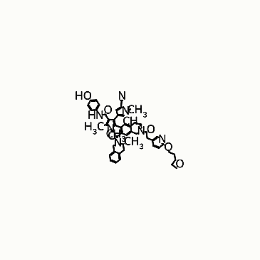 Cc1c(-c2c(C(=O)Nc3ccc(O)cc3)c(C)n(C)c2-c2cc3c(cc2C(=O)N2Cc4ccccc4C[C@H]2C)CN(C(=O)Cc2ccc(OCCC4CCO4)nc2)CC3)cc(C#N)n1C